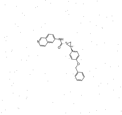 O=C(Nc1ccc2cnccc2c1)[C@@H]1C[C@H]1c1ccc(OCc2ccccc2)cc1